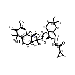 CC(=O)/C=C1/[C@@]2(C)C=C(C#N)C(=O)C(C)(C)[C@@H]2CC[C@@]1(C)C(C)(C)CC[C@@]1(C(=O)NNC(=O)C2CC2)CCC(C)(C)CC1C